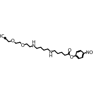 C#CCOCCOCCNCCCCNCCCCC(=O)Oc1ccc([N+](=O)[O-])cc1